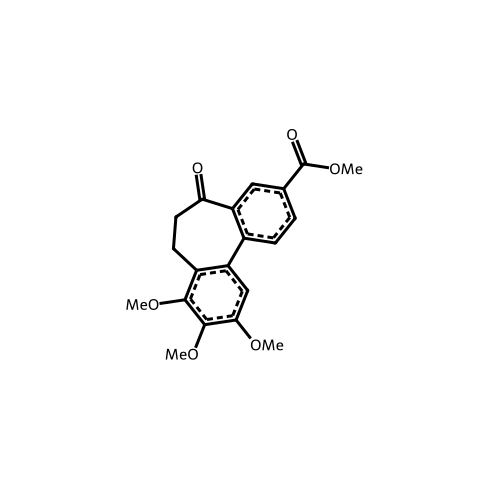 COC(=O)c1ccc2c(c1)C(=O)CCc1c-2cc(OC)c(OC)c1OC